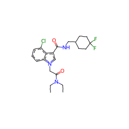 CCN(CC)C(=O)Cn1cc(C(=O)NCC2CCC(F)(F)CC2)c2c(Cl)cccc21